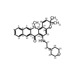 Cn1c2cc3ccccc3cc2c(=O)c2c(NCCN3CCOCC3)cc3c(c21)C=CC(C)(C)O3